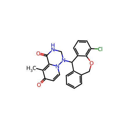 Cc1c2n(ccc1=O)N(C1c3ccccc3COc3c(Cl)cccc31)CNC2=O